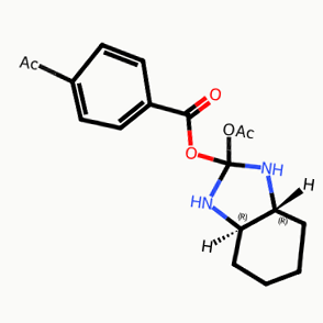 CC(=O)OC1(OC(=O)c2ccc(C(C)=O)cc2)N[C@@H]2CCCC[C@H]2N1